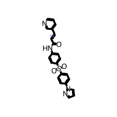 O=C(/C=C/c1cccnc1)Nc1ccc(S(=O)(=O)c2ccc(-n3cccn3)cc2)cc1